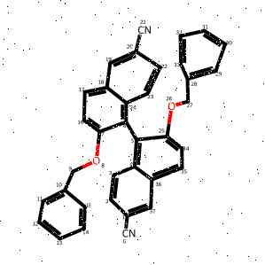 N#Cc1ccc2c(-c3c(OCc4ccccc4)ccc4cc(C#N)ccc34)c(OCc3ccccc3)ccc2c1